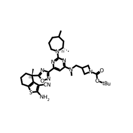 CC1CCCN(c2nc(-c3noc([C@@]4(C)CCCc5sc(N)c(C#N)c54)n3)cc(N(C)CC3CN(C(=O)OC(C)(C)C)C3)n2)[C@@H](C)C1